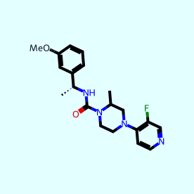 COc1cccc([C@@H](C)NC(=O)N2CCN(c3ccncc3F)CC2C)c1